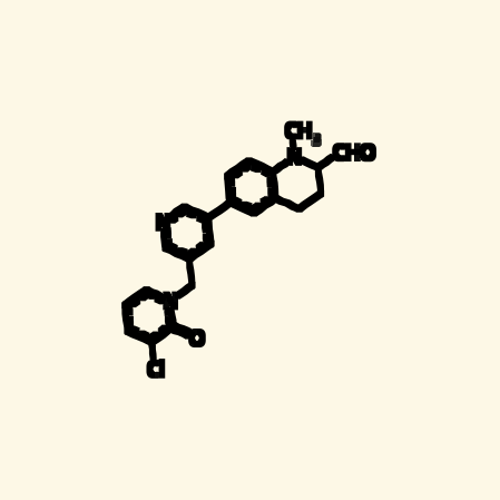 CN1c2ccc(-c3cncc(Cn4cccc(Cl)c4=O)c3)cc2CCC1C=O